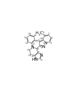 Cc1cccn2nc(C3c4nc[nH]c4CCN3c3ccccc3)cc12